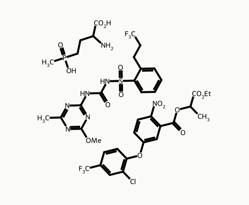 CCOC(=O)C(C)OC(=O)c1cc(Oc2ccc(C(F)(F)F)cc2Cl)ccc1[N+](=O)[O-].COc1nc(C)nc(NC(=O)NS(=O)(=O)c2ccccc2CCC(F)(F)F)n1.CP(=O)(O)CCC(N)C(=O)O